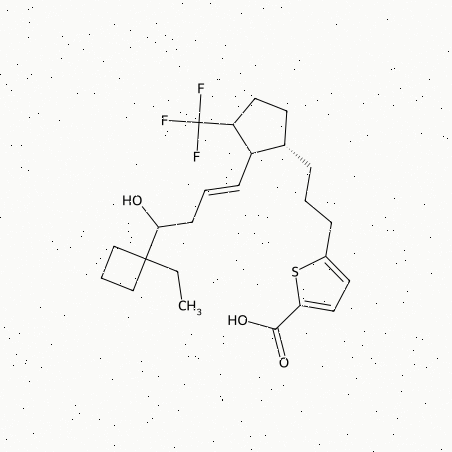 CCC1(C(O)C/C=C/C2C(C(F)(F)F)CC[C@@H]2CCCc2ccc(C(=O)O)s2)CCC1